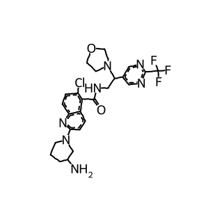 NC1CCCN(c2ccc3c(C(=O)NCC(c4cnc(C(F)(F)F)nc4)N4CCOCC4)c(Cl)ccc3n2)C1